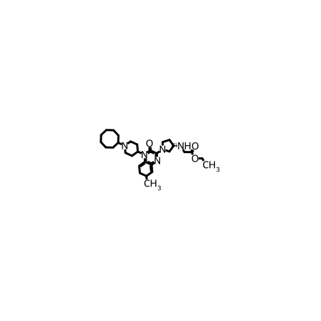 CCOC(=O)CN[C@H]1CCN(c2nc3c(n(C4CCN(C5CCCCCCC5)CC4)c2=O)=CCC(C)C=3)C1